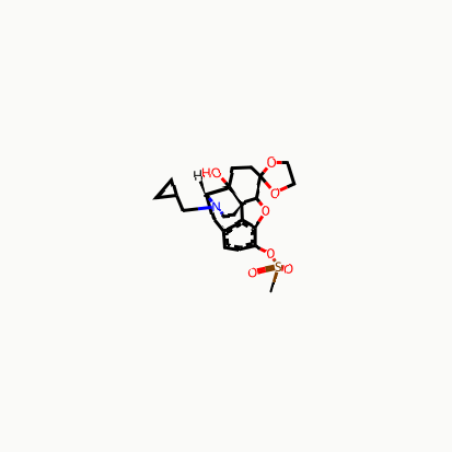 CS(=O)(=O)Oc1ccc2c3c1OC1C4(CCC5(O)[C@@H](C2)N(CC2CC2)CC[C@]315)OCCO4